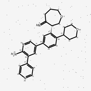 N=C1CCCOC[C@@H]1c1cc(-c2cnc(N)c(-c3ccncc3)c2)ccc1C1CCOCC1